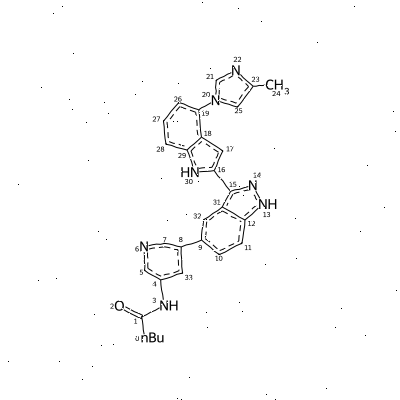 CCCCC(=O)Nc1cncc(-c2ccc3[nH]nc(-c4cc5c(-n6cnc(C)c6)cccc5[nH]4)c3c2)c1